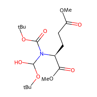 COC(=O)CC[C@@H](C(=O)OC)N(C(=O)OC(C)(C)C)C(O)OC(C)(C)C